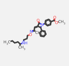 CCCCC(C)NCCCO/N=C(C)/C=C1/C(=O)N(c2ccc(C(=O)OC)cc2)C1c1ccccc1